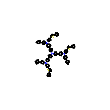 c1ccc(-c2ccc(N(c3ccc(-c4ccc(N(c5ccc(-c6ccc(N(c7ccc(-c8ccccc8)cc7)c7ccc(-c8ccc(-c9ccccc9)s8)cc7)cc6)cc5)c5ccc(-c6ccc(N(c7ccc(-c8ccccc8)cc7)c7ccc(-c8ccc(-c9ccccc9)s8)cc7)cc6)cc5)cc4)cc3)c3ccc(-c4ccc(-c5ccccc5)s4)cc3)cc2)cc1